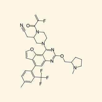 C=C(F)C(=O)N1CCN(c2nc(OCC3CCCN3C)nc3cc(-c4ccc(C)cc4C(F)(F)F)c4ccoc4c23)CC1CC#N